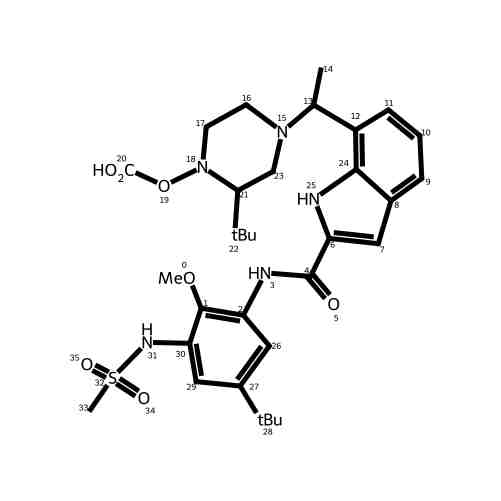 COc1c(NC(=O)c2cc3cccc(C(C)N4CCN(OC(=O)O)C(C(C)(C)C)C4)c3[nH]2)cc(C(C)(C)C)cc1NS(C)(=O)=O